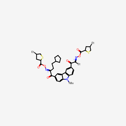 CCCCn1c2ccc(C(=O)/C(CC)=N/OC(=O)C3CC(CC)CS3)cc2c2cc(C(=O)/C(CCC3CCCC3)=N/OC(=O)C3CC(CC)CS3)ccc21